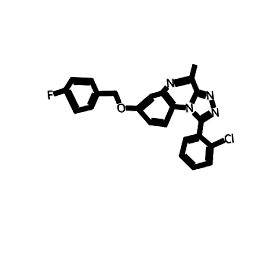 Cc1nc2cc(OCc3ccc(F)cc3)ccc2n2c(-c3ccccc3Cl)nnc12